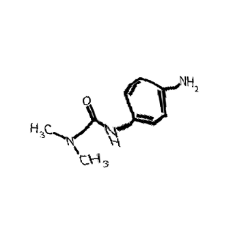 CN(C)C(=O)Nc1ccc(N)cc1